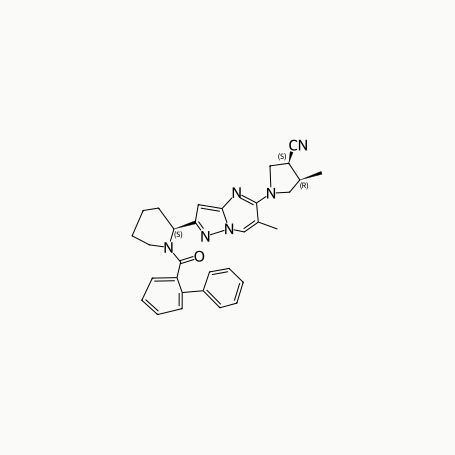 Cc1cn2nc([C@@H]3CCCCN3C(=O)c3ccccc3-c3ccccc3)cc2nc1N1C[C@@H](C#N)[C@@H](C)C1